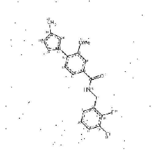 COc1cc(C(=O)NCc2cccc(Cl)c2F)ccc1-n1cnc(C)c1